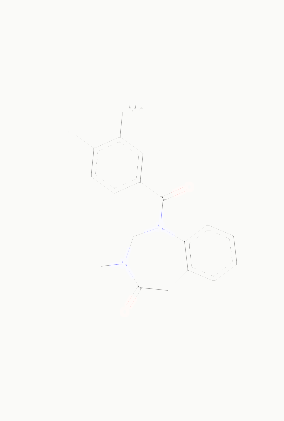 COc1cc(C(=O)N2CN(C)C(=O)Cc3ccccc32)ccc1C(=O)O